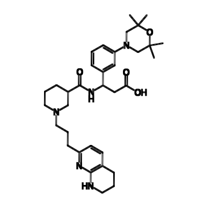 CC1(C)CN(c2cccc(C(CC(=O)O)NC(=O)C3CCCN(CCCc4ccc5c(n4)NCCC5)C3)c2)CC(C)(C)O1